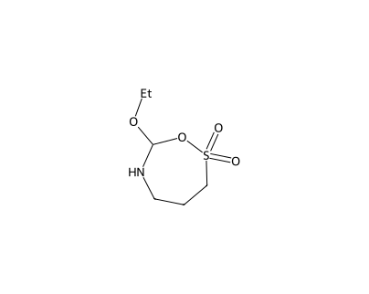 CCOC1NCCCS(=O)(=O)O1